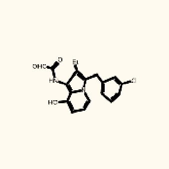 CCc1c(NC(=O)C=O)c2c(O)cccn2c1Cc1cccc(Cl)c1